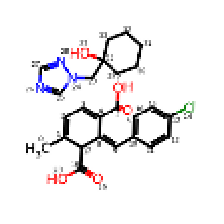 CC1=CC=C(C(=O)O)C(=Cc2ccc(Cl)cc2)C1C(=O)O.OC1(Cn2cncn2)CCCCC1